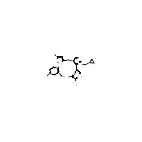 Cc1ccc2c(c1)[C@@H](C)Oc1cc(cnc1N)-c1c(cnn1CC1CC1)Cc1cc(C)nn1-2